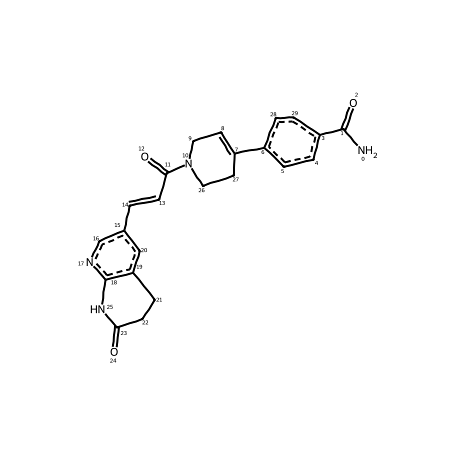 NC(=O)c1ccc(C2=CCN(C(=O)C=Cc3cnc4c(c3)CCC(=O)N4)CC2)cc1